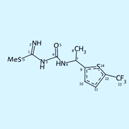 CSC(=N)NC(=O)NC(C)c1ccc(C(F)(F)F)s1